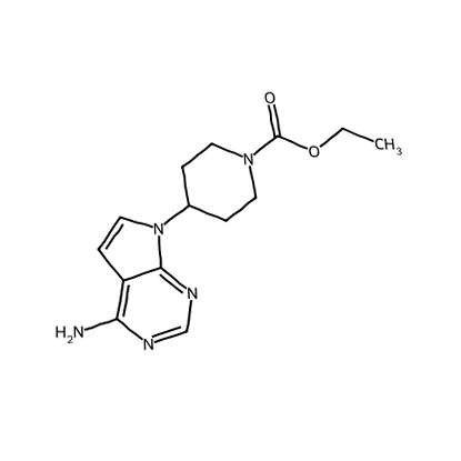 CCOC(=O)N1CCC(n2ccc3c(N)ncnc32)CC1